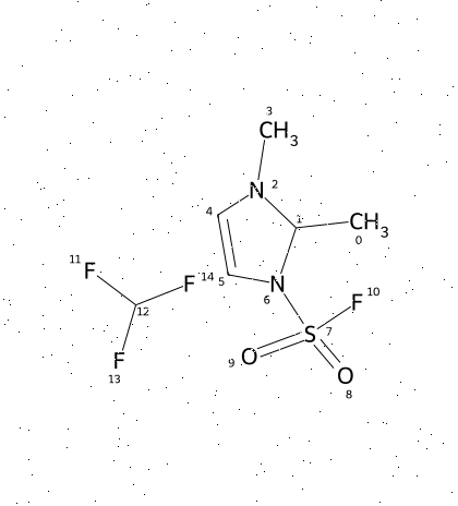 CC1N(C)C=CN1S(=O)(=O)F.FC(F)F